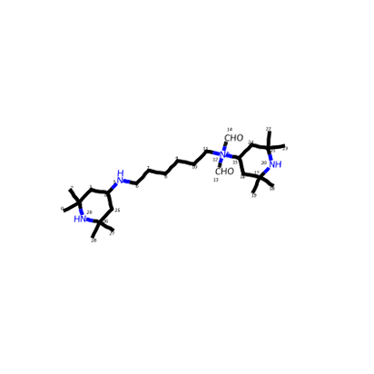 CC1(C)CC(NCCCCCC[N+](C=O)(C=O)C2CC(C)(C)NC(C)(C)C2)CC(C)(C)N1